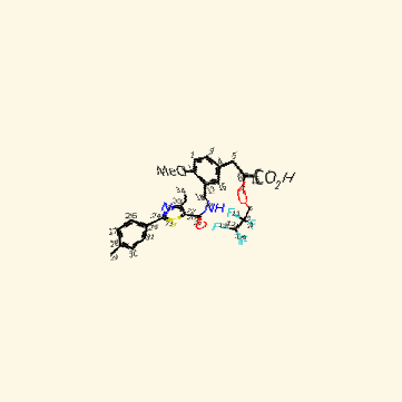 COc1ccc(CC(OCC(F)(F)C(F)F)C(=O)O)cc1CNC(=O)c1sc(-c2ccc(C)cc2)nc1C